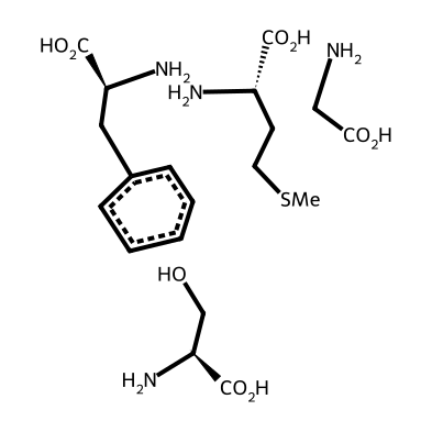 CSCC[C@H](N)C(=O)O.NCC(=O)O.N[C@@H](CO)C(=O)O.N[C@@H](Cc1ccccc1)C(=O)O